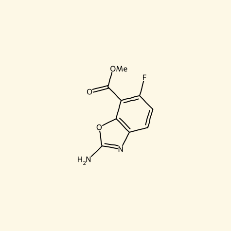 COC(=O)c1c(F)ccc2nc(N)oc12